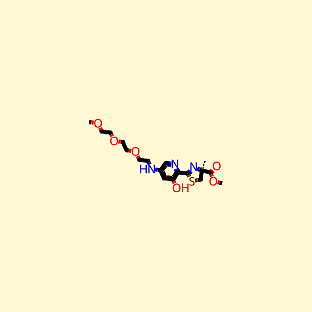 COCCOCCOCCNc1cnc(C2=N[C@@](C)(C(=O)OC)CS2)c(O)c1